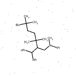 CCCC(CCC)C(CN(C)C(C)C)C(C)(C)CCC(C)(C)C(C)CC